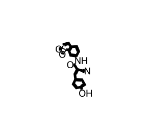 N#CC(=Cc1ccc(O)cc1)C(=O)Nc1ccc2c(c1)S(=O)(=O)C=C2